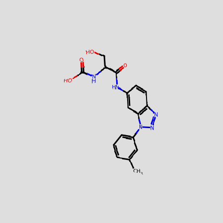 Cc1cccc(-n2nnc3ccc(NC(=O)C(CO)NC(=O)O)cc32)c1